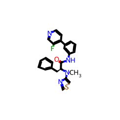 CN(c1cscn1)[C@@H](Cc1ccccc1)C(=O)Nc1cccc(-c2ccncc2F)c1